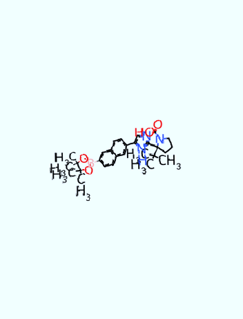 CC1(C)OB(c2ccc3cc(-c4cnc([C@@]5(C(C)(C)C)CCCN5C(=O)O)[nH]4)ccc3c2)OC1(C)C